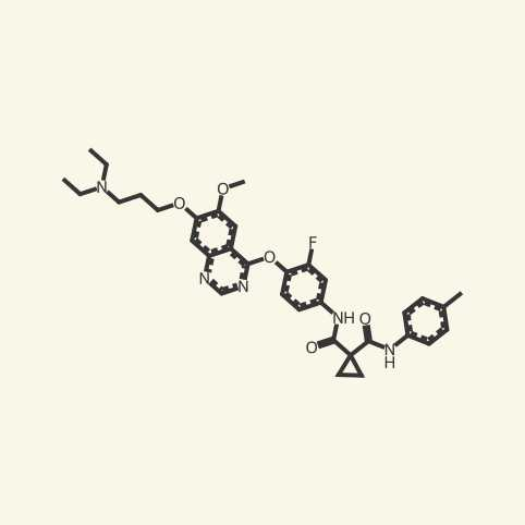 CCN(CC)CCCOc1cc2ncnc(Oc3ccc(NC(=O)C4(C(=O)Nc5ccc(C)cc5)CC4)cc3F)c2cc1OC